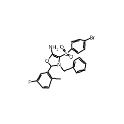 Cc1ccc(F)cc1C1OC(N)=C(S(=O)(=O)c2ccc(Br)cc2)N1Cc1ccccc1